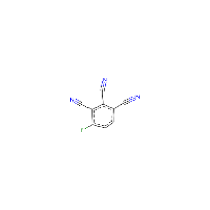 N#Cc1ccc(F)c(C#N)c1C#N